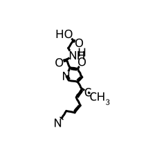 CC/C(=C\C=C/CC#N)c1cnc(C(=O)NCC(=O)O)c(O)c1